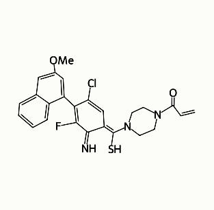 C=CC(=O)N1CCN(/C(S)=C2\C=C(Cl)C(c3cc(OC)cc4ccccc34)=C(F)C2=N)CC1